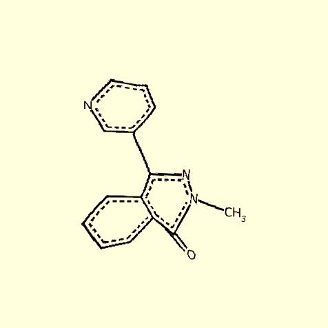 Cn1nc(-c2cccnc2)c2ccccc2c1=O